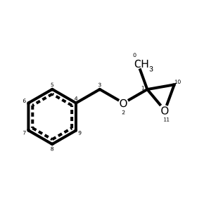 CC1(OCc2ccccc2)CO1